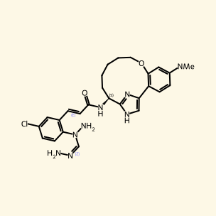 CNc1ccc2c(c1)OCCCCC[C@H](NC(=O)/C=C/c1cc(Cl)ccc1N(N)/C=N\N)c1nc-2c[nH]1